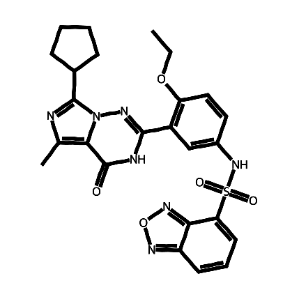 CCOc1ccc(NS(=O)(=O)c2cccc3nonc23)cc1-c1nn2c(C3CCCC3)nc(C)c2c(=O)[nH]1